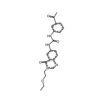 CCOCCn1cnc2ccc(NC(=O)Nc3cccc(C(C)=O)c3)cc2c1=O